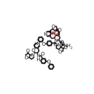 NC(=O)C12C(=O)COC1CCN2C(=O)C(Cc1cccnc1)N(C(=O)c1ccc(Oc2ccccc2)cc1)C(Cc1cccnc1)C(=O)N1CCC2OCC(=O)C21.O=C(NC(Cc1cccnc1)C(=O)N1CCC2OCC(=O)C21)c1cccc(Oc2ccccc2)c1